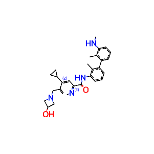 C=C(CN1CC(O)C1)/C(=C\C(=N/C)C(=O)Nc1cccc(-c2cccc(NC)c2C)c1C)C1CC1